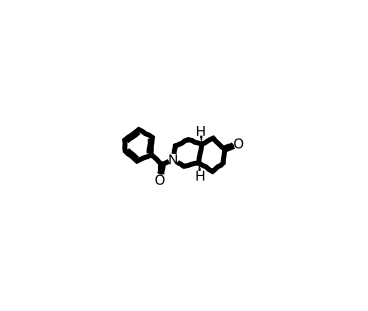 O=C1CC[C@H]2CN(C(=O)c3ccccc3)CC[C@H]2C1